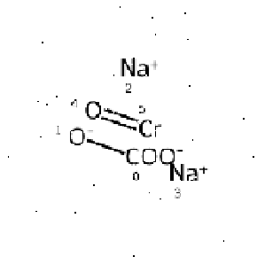 O=C([O-])[O-].[Na+].[Na+].[O]=[Cr]